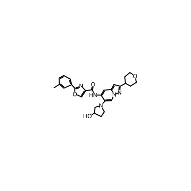 Cc1cccc(-c2nc(C(=O)Nc3cc4cc(C5CCOCC5)nn4cc3N3CCC(O)C3)co2)c1